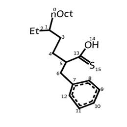 CCCCCCCCC(CC)CCC(Cc1ccccc1)C(O)=S